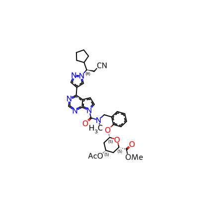 COC(=O)[C@@H]1C[C@H](OC(C)=O)C[C@H](Oc2ccccc2CN(C)C(=O)n2ccc3c(-c4cnn([C@H](CC#N)C5CCCC5)c4)ncnc32)O1